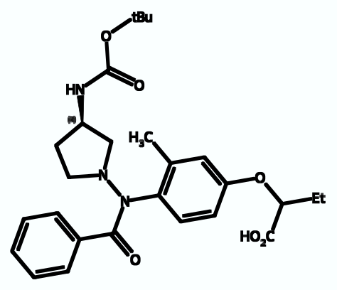 CCC(Oc1ccc(N(C(=O)c2ccccc2)N2CC[C@@H](NC(=O)OC(C)(C)C)C2)c(C)c1)C(=O)O